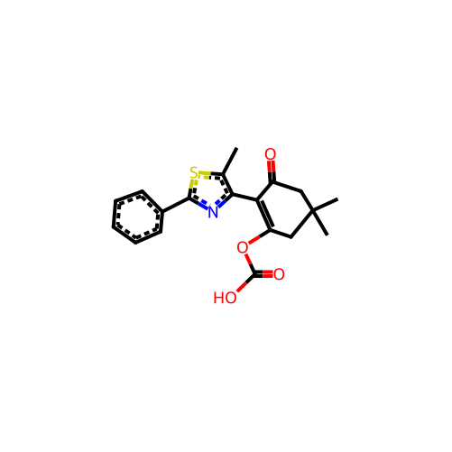 Cc1sc(-c2ccccc2)nc1C1=C(OC(=O)O)CC(C)(C)CC1=O